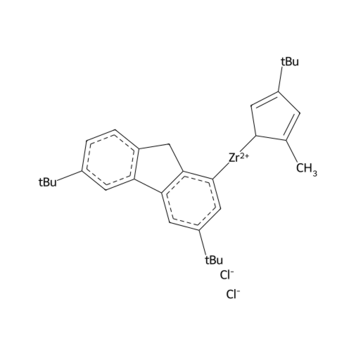 CC1=CC(C(C)(C)C)=C[CH]1[Zr+2][c]1cc(C(C)(C)C)cc2c1Cc1ccc(C(C)(C)C)cc1-2.[Cl-].[Cl-]